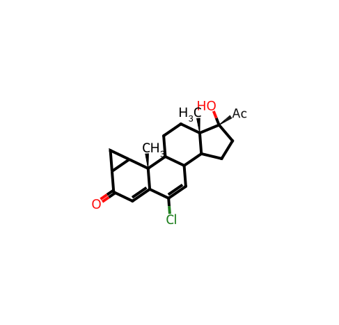 CC(=O)[C@@]1(O)CCC2C3C=C(Cl)C4=CC(=O)C5CC5[C@]4(C)C3CC[C@@]21C